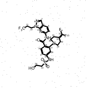 O=C(Nc1ccc2cnn(CCC(F)(F)F)c2n1)c1ccc(NS(=O)(=O)CCO)cc1N1CCC(=C(F)F)CC1